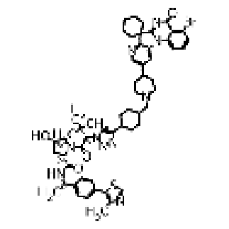 Cc1ncsc1-c1ccc([C@H](C)NC(=O)[C@@H]2C[C@@H](O)CN2C(=O)[C@@H](n2cc(C3CCC(CN4CCC(c5cnc6c(c5)-n5c(nc(=O)c7c(Br)cccc75)C65CCCCC5)CC4)CC3)nn2)C(C)(C)C)cc1